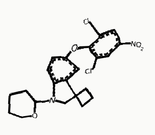 O=[N+]([O-])c1cc(Cl)c(Oc2ccc3c(c2)C2(CCC2)CN3C2CCCCO2)c(Cl)c1